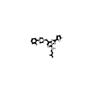 CC(C)CCNc1ncc(CN2CCN(c3ccccc3F)CC2)c2nc(-c3ccco3)nn12